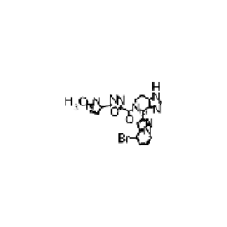 Cn1ccc(-c2nnc(C(=O)N3CCc4[nH]cnc4[C@H]3c3cc4c(Br)cccn4n3)o2)n1